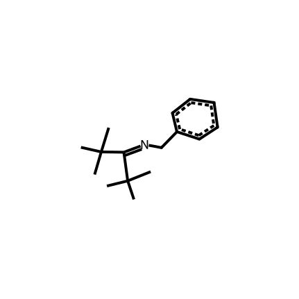 CC(C)(C)C(=NCc1ccccc1)C(C)(C)C